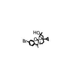 C[C@@H](c1ccc(Br)cc1)N1CCC(CC(C)(C)O)(C2CC2)OC1=O